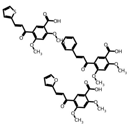 COc1cc(OC)c(C(=O)C=Cc2ccccc2)cc1C(=O)O.COc1cc(OC)c(C(=O)C=Cc2ccco2)cc1C(=O)O.COc1cc(OC)c(C(=O)C=Cc2cccs2)cc1C(=O)O